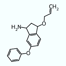 C=CCOC1CC(N)c2cc(Oc3ccccc3)ccc21